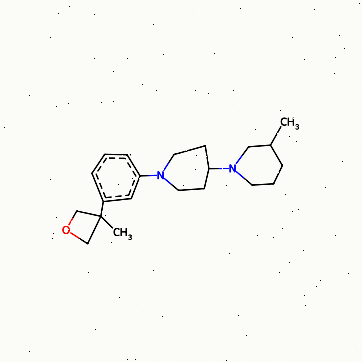 CC1CCCN(C2CCN(c3[c]ccc(C4(C)COC4)c3)CC2)C1